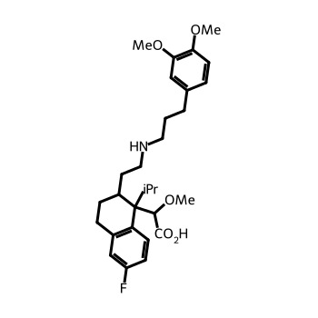 COc1ccc(CCCNCCC2CCc3cc(F)ccc3C2(C(C)C)C(OC)C(=O)O)cc1OC